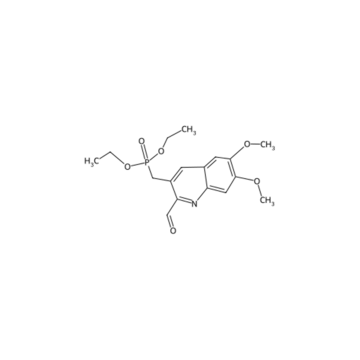 CCOP(=O)(Cc1cc2cc(OC)c(OC)cc2nc1C=O)OCC